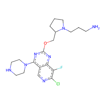 NCCCN1CCCC1COc1nc(N2CCNCC2)c2cnc(Cl)c(F)c2n1